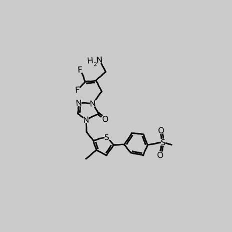 Cc1cc(-c2ccc(S(C)(=O)=O)cc2)sc1Cn1cnn(CC(CN)=C(F)F)c1=O